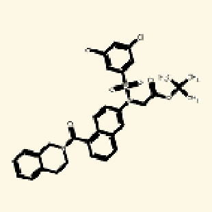 CC(C)(C)OC(=O)CN(c1ccc2c(C(=O)N3CCc4ccccc4C3)cccc2c1)S(=O)(=O)c1cc(Cl)cc(Cl)c1